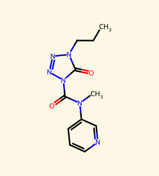 CCCn1nnn(C(=O)N(C)c2cccnc2)c1=O